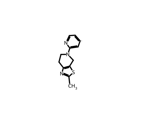 Cc1nc2c(s1)CN(c1c[c]ccn1)CC2